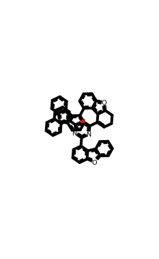 C1=C(c2nc(-c3cccc4ccccc34)nc(-c3cccc4oc5ccccc5c34)n2)c2c(oc3cccc(-c4cccc5sc6ccccc6c45)c23)CC1